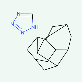 C1C2CC3C4CC5CC(C14)C(C2)C3C5.c1nnn[nH]1